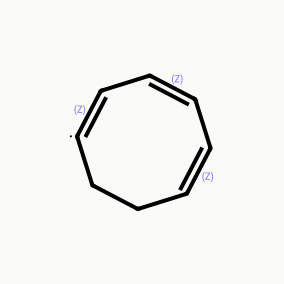 [C]1=C/C=C\C=C/CC\1